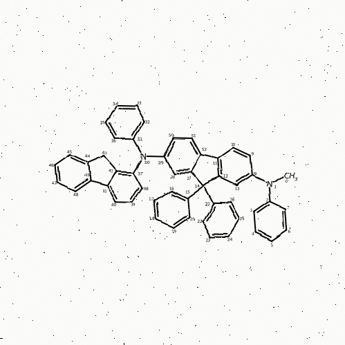 CN(c1ccccc1)c1ccc2c(c1)C(c1ccccc1)(c1ccccc1)c1cc(N(c3ccccc3)c3cccc4c3Cc3ccccc3-4)ccc1-2